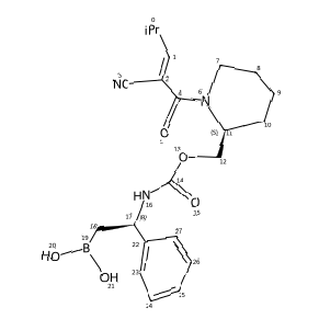 CC(C)C=C(C#N)C(=O)N1CCCC[C@H]1COC(=O)N[C@H](CB(O)O)c1ccccc1